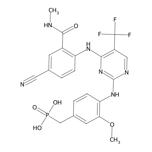 CNC(=O)c1cc(C#N)ccc1Nc1nc(Nc2ccc(CP(=O)(O)O)cc2OC)ncc1C(F)(F)F